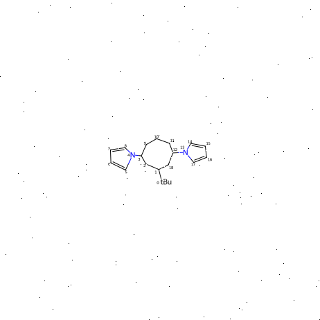 CC(C)(C)C1CC(n2cccc2)CCCC(n2cccc2)C1